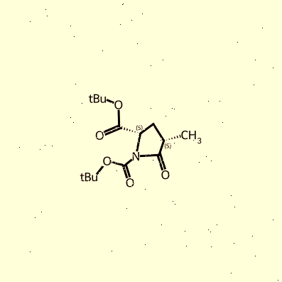 C[C@H]1C[C@@H](C(=O)OC(C)(C)C)N(C(=O)OC(C)(C)C)C1=O